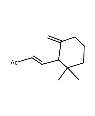 C=C1CCCC(C)(C)C1/C=C/C(C)=O